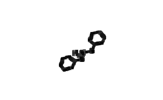 c1ccc(S[SiH2]Sc2ccccc2)cc1